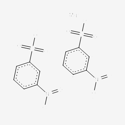 O=[N+]([O-])c1cccc(S(=O)(=O)[O-])c1.O=[N+]([O-])c1cccc(S(=O)(=O)[O-])c1.[Mg+2]